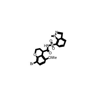 COc1ccc(Br)c2c1C(C(=O)NS(=O)(=O)c1cccc3cnn(C)c13)CCO2